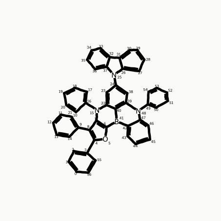 c1ccc(-c2oc3c(c2-c2ccccc2)N(c2ccccc2)c2cc(-n4c5ccccc5c5ccccc54)cc4c2B3c2ccccc2N4c2ccccc2)cc1